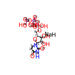 O=c1ccn([C@H]2O[C@@H](COP(=O)(O)OP(=O)(O)OP(=O)(O)O)C(O)C2O)c(=O)[nH]1.[NaH]